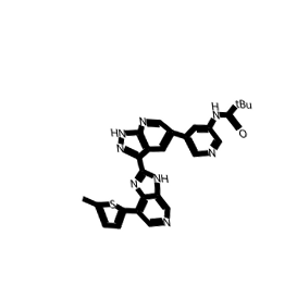 Cc1ccc(-c2cncc3[nH]c(-c4n[nH]c5ncc(-c6cncc(NC(=O)C(C)(C)C)c6)cc45)nc23)s1